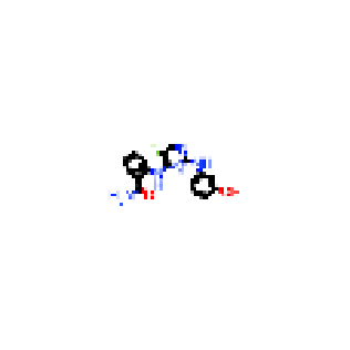 NC(=O)C1C2C=CC(C2)C1Nc1nc(Nc2cccc(O)c2)ncc1F